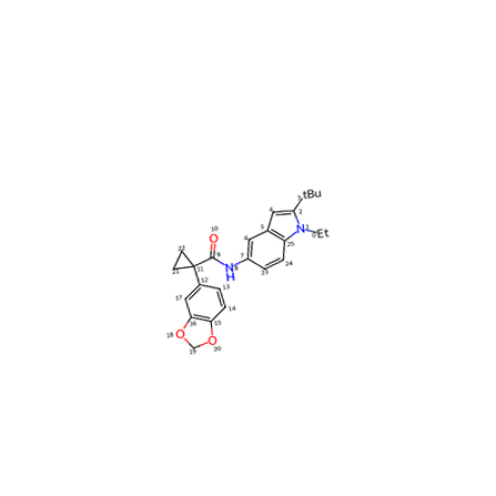 CCn1c(C(C)(C)C)cc2cc(NC(=O)C3(c4ccc5c(c4)OCO5)CC3)ccc21